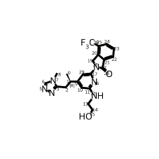 C[C@H](Cc1nncn1C)c1cc(NCCO)nc(N2Cc3c(cccc3C(F)(F)F)C2=O)c1